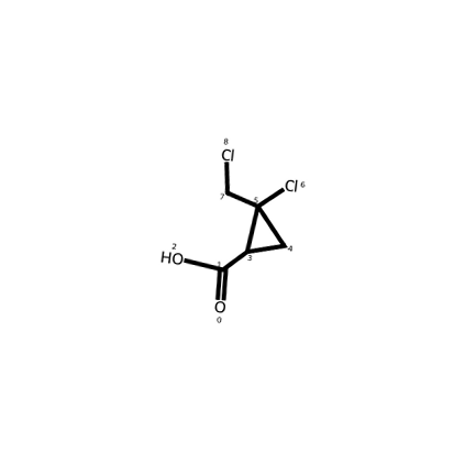 O=C(O)C1CC1(Cl)CCl